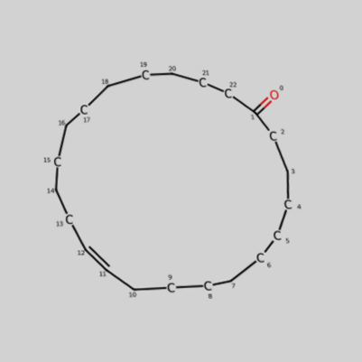 O=C1CCCCCCCCCC=CCCCCCCCCCC1